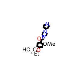 CCC(Oc1ccc(C(=O)CN2CCN(c3ccncc3)CC2)c(OC)c1)C(=O)O